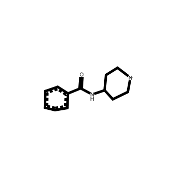 O=C(NC1CC[N]CC1)c1ccccc1